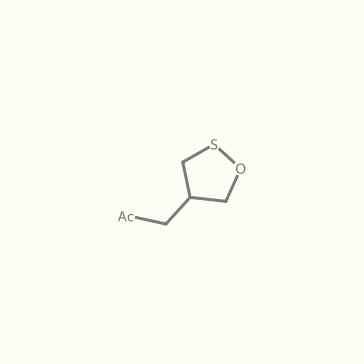 CC(=O)CC1COSC1